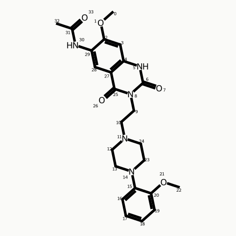 COc1cc2[nH]c(=O)n(CCN3CCN(c4ccccc4OC)CC3)c(=O)c2cc1NC(C)=O